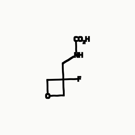 O=C(O)NCC1(F)COC1